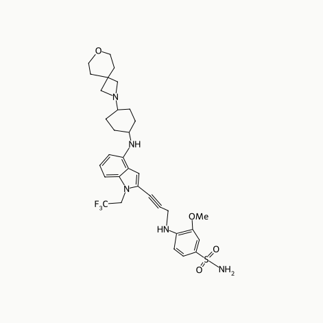 COc1cc(S(N)(=O)=O)ccc1NCC#Cc1cc2c(NC3CCC(N4CC5(CCOCC5)C4)CC3)cccc2n1CC(F)(F)F